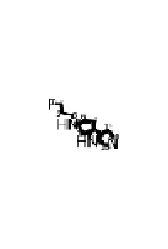 FCCCNc1ccc2c(c1)[nH]c1cnccc12